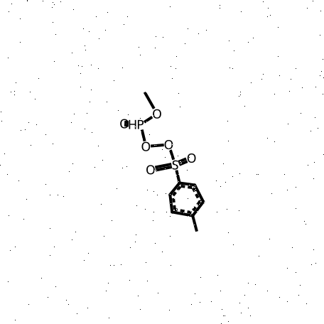 CO[PH](=O)OOS(=O)(=O)c1ccc(C)cc1